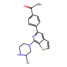 CCCCC(=O)c1ccc(-c2cc3ccsc3c(N3CCNC(CC)C3)n2)cc1